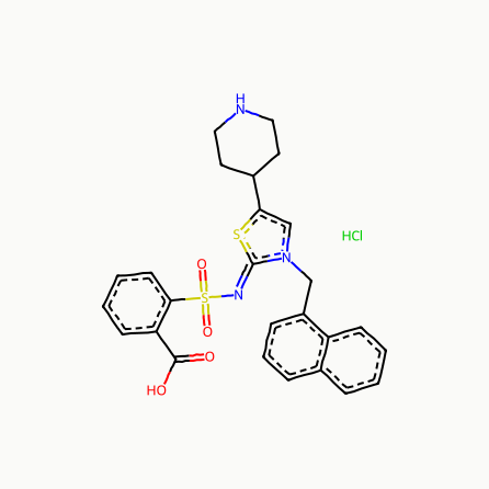 Cl.O=C(O)c1ccccc1S(=O)(=O)N=c1sc(C2CCNCC2)cn1Cc1cccc2ccccc12